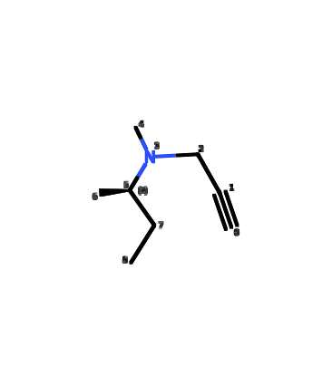 C#CCN(C)[C@H](C)CC